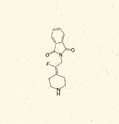 O=C1c2ccccc2C(=O)N1CC(F)=C1CCNCC1